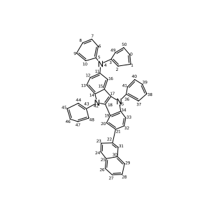 c1ccc(N(c2ccccc2)c2ccc3c(c2)c2c(c4cc(-c5ccc6ccccc6c5)ccc4n2-c2ccccc2)n3-c2ccccc2)cc1